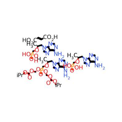 CC(C)OC(=O)OCOP(=O)(CO[C@H](C)Cn1cnc2c(N)ncnc21)OCOC(=O)OC(C)C.C[C@H](Cn1cnc2c(N)ncnc21)OCP(=O)(O)O.C[C@H](Cn1cnc2c(N)ncnc21)OCP(=O)(O)O.O=C(O)/C=C/C(=O)O